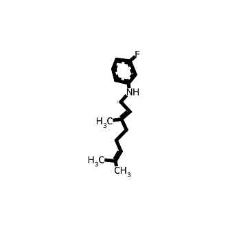 CC(C)=CCC/C(C)=C/[CH]Nc1cccc(F)c1